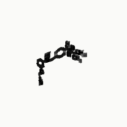 CC(C)S(=O)(=O)NC1CCC(CNc2cccc(OCC#N)c2)CC1